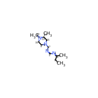 CC/C(C)=N\C=N/CN1CCN(C)[C@H](C)C1